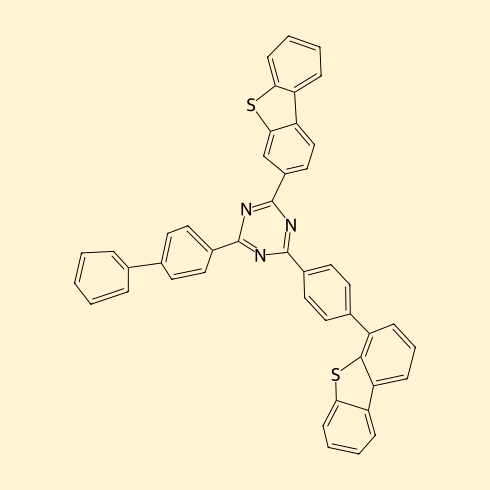 c1ccc(-c2ccc(-c3nc(-c4ccc(-c5cccc6c5sc5ccccc56)cc4)nc(-c4ccc5c(c4)sc4ccccc45)n3)cc2)cc1